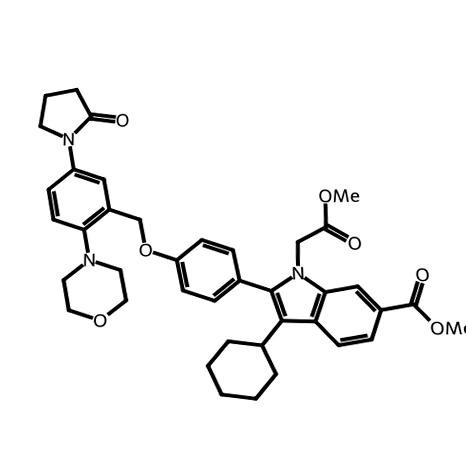 COC(=O)Cn1c(-c2ccc(OCc3cc(N4CCCC4=O)ccc3N3CCOCC3)cc2)c(C2CCCCC2)c2ccc(C(=O)OC)cc21